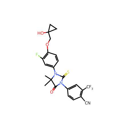 CC1(C)C(=O)N(c2ccc(C#N)c(C(F)(F)F)c2)C(=S)N1c1ccc(OCC2(O)CC2)c(F)c1